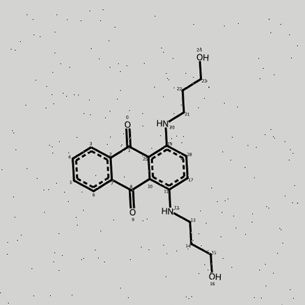 O=C1c2ccccc2C(=O)c2c(NCCCO)ccc(NCCCO)c21